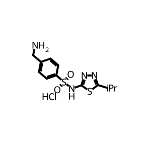 CC(C)c1nnc(NS(=O)(=O)c2ccc(CN)cc2)s1.Cl